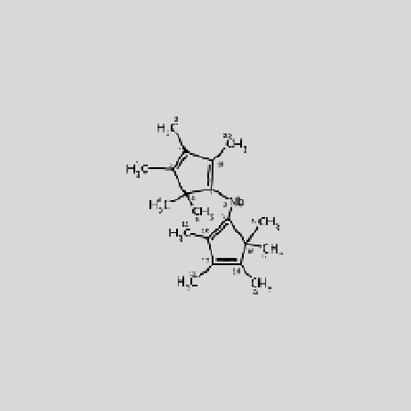 CC1=C(C)C(C)(C)[C]([Nb][C]2=C(C)C(C)=C(C)C2(C)C)=C1C